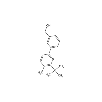 Cc1ccc(-c2cccc(CO)c2)nc1C(C)(C)C